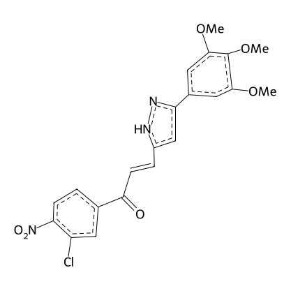 COc1cc(-c2cc(C=CC(=O)c3ccc([N+](=O)[O-])c(Cl)c3)[nH]n2)cc(OC)c1OC